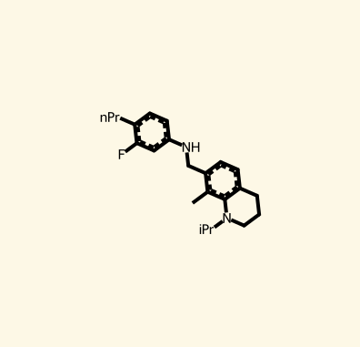 CCCc1ccc(NCc2ccc3c(c2C)N(C(C)C)CCC3)cc1F